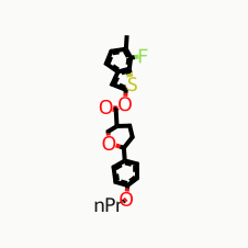 CCCOc1ccc(C2CCC(C(=O)Oc3cc4ccc(C)c(F)c4s3)CO2)cc1